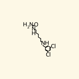 NC(=O)NCCCCCCNCc1cc(Cl)cc(Cl)c1